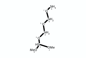 CO[SiH](OC)O[SiH2]O[SiH2]O[SiH3]